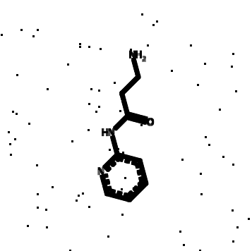 NCCC(=O)Nc1ccccn1